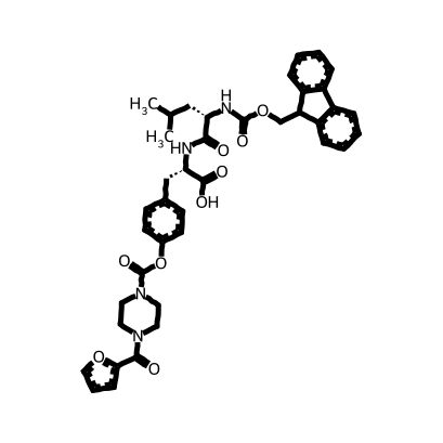 CC(C)C[C@H](NC(=O)OCC1c2ccccc2-c2ccccc21)C(=O)N[C@@H](Cc1ccc(OC(=O)N2CCN(C(=O)c3ccco3)CC2)cc1)C(=O)O